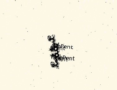 CCCCCC(C)(C)c1cc(Cc2cc(C(C)(C)CCCCC)c(OCCCC(C)C3CO3)c(C(C)(C)CCCCC)c2)cc(C(C)(C)CCCCC)c1OCCCC(C)C1CO1